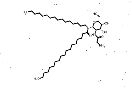 CCCCCCCCCCCCCCCCCC(=O)N(CCCCCCCCCCCCCCCC)[C@@H]1O[C@H](CO)[C@@H](O)[C@H](O)[C@H]1NC(=O)CN